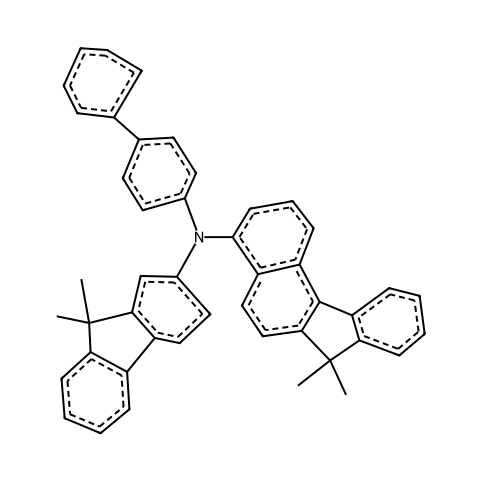 CC1(C)c2ccccc2-c2ccc(N(c3ccc(-c4ccccc4)cc3)c3cccc4c5c(ccc34)C(C)(C)c3ccccc3-5)cc21